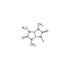 CN1C(=O)N(C)C2C1N(C)C(=O)N2I